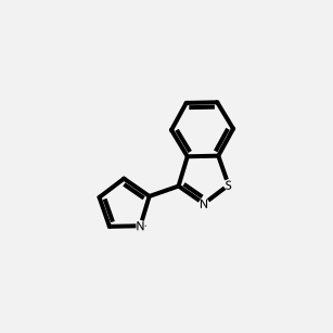 C1=C[N]C(c2nsc3ccccc23)=C1